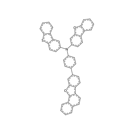 c1ccc2c(c1)ccc1c3ccc(-c4ccc(N(c5ccc6c(c5)oc5ccccc56)c5ccc6sc7ccccc7c6c5)cc4)cc3oc21